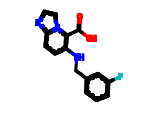 O=C(O)c1c(NCc2cccc(F)c2)ccc2nccn12